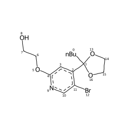 CCCCC1(c2cc(OCCO)ncc2Br)OCCO1